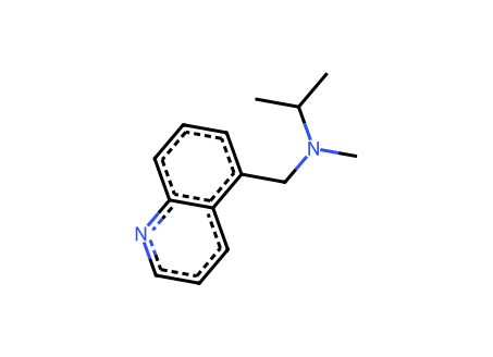 CC(C)N(C)Cc1cccc2ncccc12